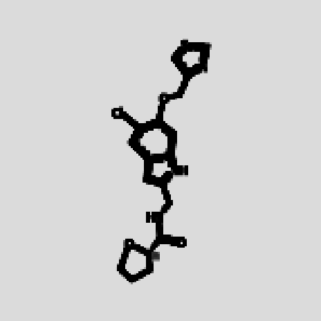 O=C(NCc1cc2cc(Cl)c(OCc3cscn3)cc2[nH]1)[C@H]1CCCO1